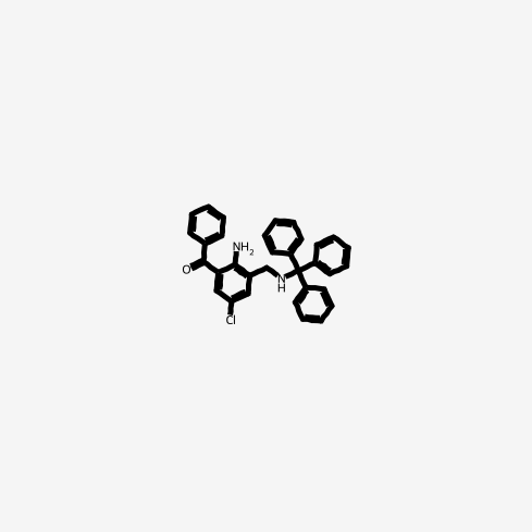 Nc1c(CNC(c2ccccc2)(c2ccccc2)c2ccccc2)cc(Cl)cc1C(=O)c1ccccc1